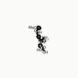 COc1ccccc1C(=O)NCc1ccc(-c2nn(C3CCCN(C(=O)C(O)CO)C3)c3ncnc(N)c23)cc1